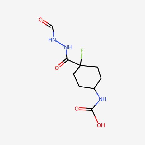 O=CNNC(=O)C1(F)CCC(NC(=O)O)CC1